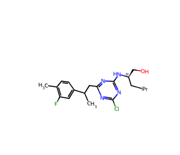 Cc1ccc(C(C)Cc2nc(Cl)nc(N[C@@H](CO)CC(C)C)n2)cc1F